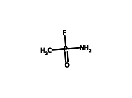 CP(N)(=O)F